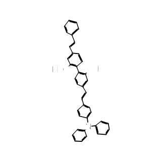 Cc1cc(C=Cc2ccccc2)ccc1-c1ccc(C=Cc2ccc(N(c3ccccc3)c3ccccc3)cc2)cc1C